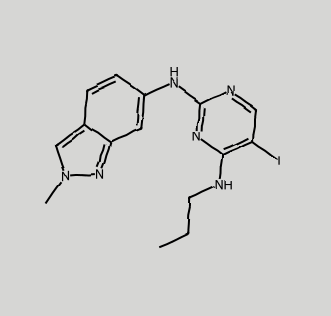 CCCNc1nc(Nc2ccc3cn(C)nc3c2)ncc1I